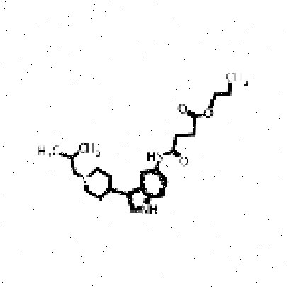 CCCOC(=O)CCC(=O)Nc1ccc2[nH]cc(C3CCN(CC(C)C)CC3)c2c1